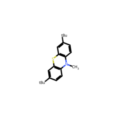 CN1c2ccc(C(C)(C)C)cc2Sc2cc(C(C)(C)C)ccc21